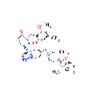 COc1cc(C)ccc1CN1C(=O)CCN(c2cnn3ccc(CN4CCN(C(=O)OC(C)(C)C)[C@@H](C)C4)cc23)C1=O